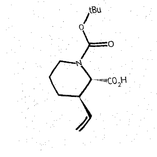 C=C[C@H]1CCCN(C(=O)OC(C)(C)C)[C@@H]1C(=O)O